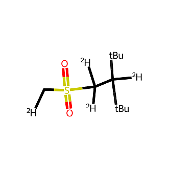 [2H]CS(=O)(=O)C([2H])([2H])C([2H])(C(C)(C)C)C(C)(C)C